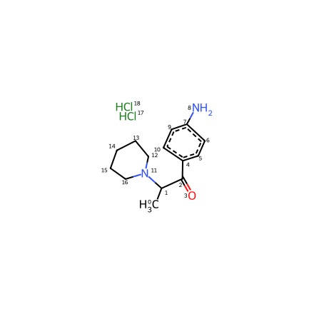 CC(C(=O)c1ccc(N)cc1)N1CCCCC1.Cl.Cl